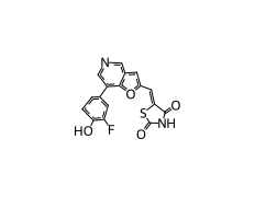 O=C1NC(=O)C(=Cc2cc3cncc(-c4ccc(O)c(F)c4)c3o2)S1